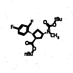 CCCCOC(=O)[C@@H]1C[C@@H](N(C)C(=O)OC(C)(C)C)C[C@H]1c1ccc(F)cc1F